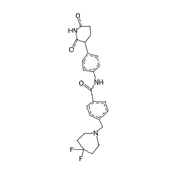 O=C1CCC(c2ccc(NC(=O)c3ccc(CN4CCC(F)(F)CC4)cc3)cc2)C(=O)N1